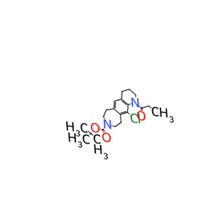 CCC(=O)N1CCCc2cc3c(c(Cl)c21)CCN(C(=O)OC(C)(C)C)CC3